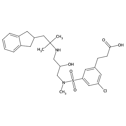 CN(CC(O)CNC(C)(C)CC1Cc2ccccc2C1)S(=O)(=O)c1cc(Cl)cc(CCC(=O)O)c1